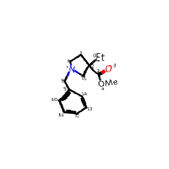 CCC1(C(=O)OC)CCN(Cc2ccccc2)C1